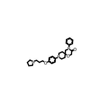 O=C1COC2(CCN(c3ccc(OCCCN4CCCC4)cc3)CC2)CN1c1ccccc1